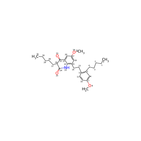 CCCCCc1cc(OC)ccc1CCc1cc(OC)cc2c1NC(=O)C(CCCCC)C2=O